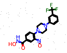 O=Nc1cc(C(=O)NO)ccc1N1CCN(c2cccc(C(F)(F)F)c2)CC1